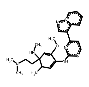 CNC1(CCN(C)C)C=C(OC)C(Nc2nccc(-c3cnn4ccccc34)n2)=CC1N